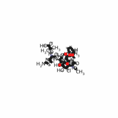 CO/N=C(\C(=O)NCC1C[C@H]2CC[C@@H](C1)[N+]2(C)CC1=C(C(=O)O)N2C(=O)[C@@H](NC(=O)/C(=N\OC(C)(C)C(=O)O)c3csc(N)n3)[C@H]2SC1)c1ccc(O)c(O)c1Cl